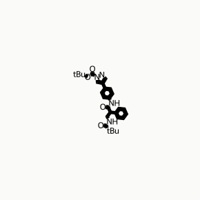 CC(C)(C)OC(=O)n1cc(-c2ccc(NC(=O)C(CNC(=O)C(C)(C)C)c3ccccc3)cc2)cn1